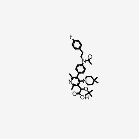 CC(=O)N(CCc1ccc(F)cc1)c1ccc(-c2c(C)nc(C)c(C(OC(C)(C)C)C(=O)O)c2N2CCC(C)(C)CC2)cc1